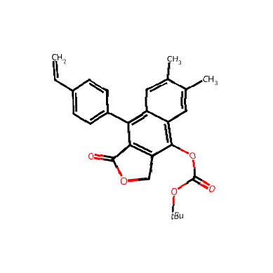 C=Cc1ccc(-c2c3c(c(OC(=O)OC(C)(C)C)c4cc(C)c(C)cc24)COC3=O)cc1